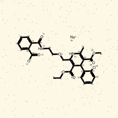 CCOC(=O)C1=C(COCCNC(=O)c2ccccc2C(=O)[O-])NC(C)=C(C(=O)OC)C1c1ccccc1Cl.[Na+]